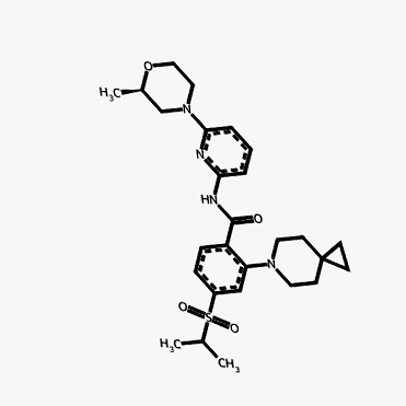 CC(C)S(=O)(=O)c1ccc(C(=O)Nc2cccc(N3CCO[C@H](C)C3)n2)c(N2CCC3(CC2)CC3)c1